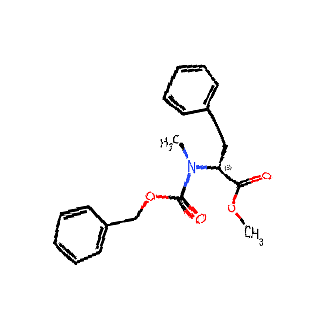 COC(=O)[C@H](Cc1ccccc1)N(C)C(=O)OCc1ccccc1